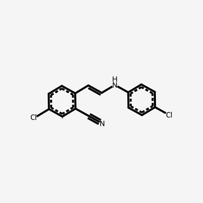 N#Cc1[c]c(Cl)ccc1C=CNc1ccc(Cl)cc1